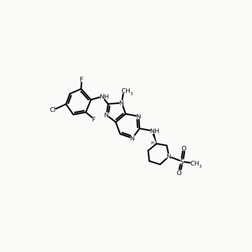 Cn1c(Nc2c(F)cc(Cl)cc2F)nc2cnc(N[C@@H]3CCCN(S(C)(=O)=O)C3)nc21